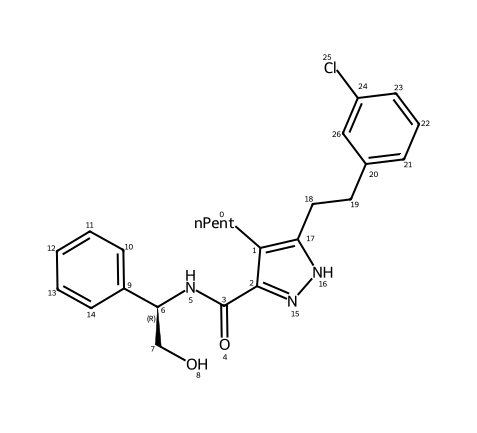 CCCCCc1c(C(=O)N[C@@H](CO)c2ccccc2)n[nH]c1CCc1cccc(Cl)c1